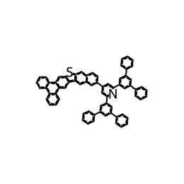 c1ccc(-c2cc(-c3ccccc3)cc(-c3cc(-c4ccc5cc6sc7cc8c9ccccc9c9ccccc9c8cc7c6cc5c4)cc(-c4cc(-c5ccccc5)cc(-c5ccccc5)c4)n3)c2)cc1